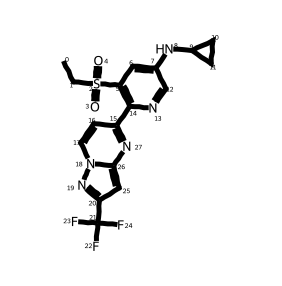 CCS(=O)(=O)c1cc(NC2CC2)cnc1-c1ccn2nc(C(F)(F)F)cc2n1